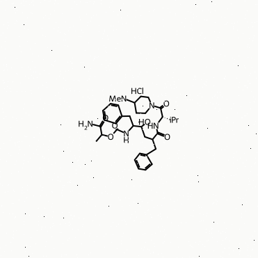 CNC1CCN(C(=O)[C@@H](NC(=O)C(Cc2ccccc2)CC(O)C(Cc2ccccc2)NC(=O)OC(C)C(N)=O)C(C)C)CC1.Cl